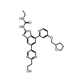 CCNC(=O)Nc1nc2cc(-c3cnc(CCO)nc3)cc(-c3cc(OCC4CCCO4)ccn3)c2s1